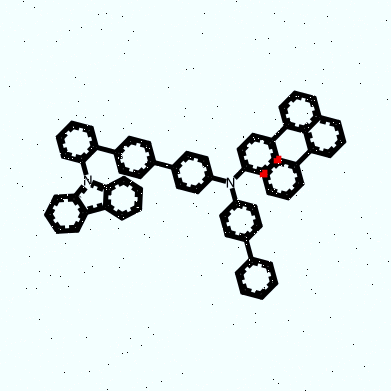 c1ccc(-c2ccc(N(c3ccc(-c4ccc(-c5ccccc5-n5c6ccccc6c6ccccc65)cc4)cc3)c3ccc(-c4cccc5cccc(-c6ccccc6)c45)cc3)cc2)cc1